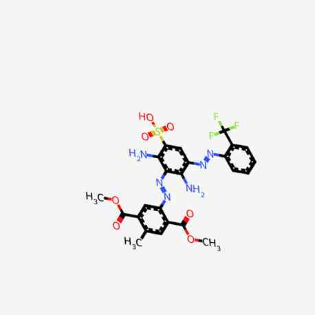 COC(=O)c1cc(/N=N/c2c(N)c(/N=N/c3ccccc3C(F)(F)F)cc(S(=O)(=O)O)c2N)c(C(=O)OC)cc1C